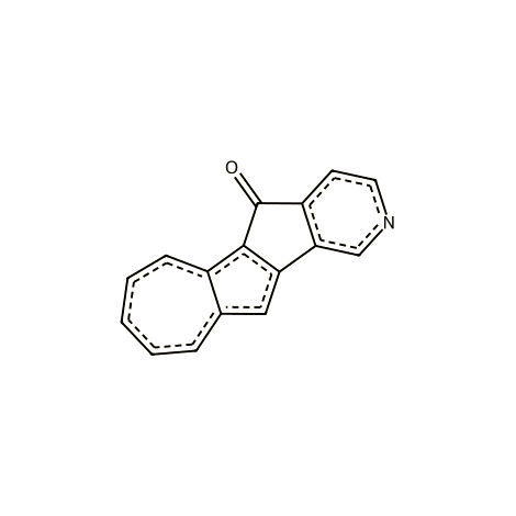 O=C1c2ccncc2-c2cc3cccccc-3c21